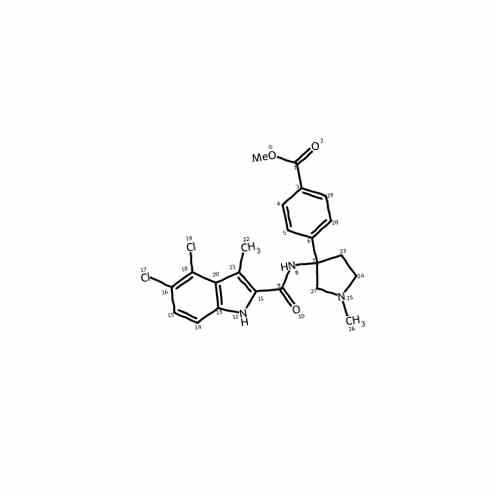 COC(=O)c1ccc(C2(NC(=O)c3[nH]c4ccc(Cl)c(Cl)c4c3C)CCN(C)C2)cc1